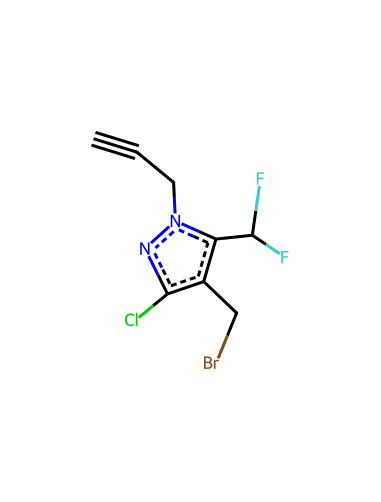 C#CCn1nc(Cl)c(CBr)c1C(F)F